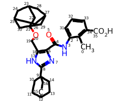 Cc1c(NC(=O)c2nc(C34CCC(CC3)CC4)[nH]c2COC23CC4CC(CC(C4)C2)C3)cccc1C(=O)O